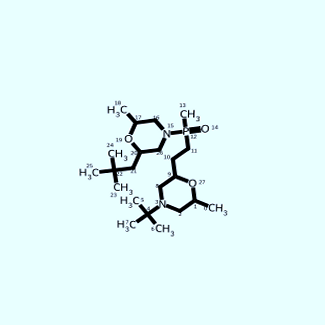 CC1CN(C(C)(C)C)CC(CCP(C)(=O)N2CC(C)OC(CC(C)(C)C)C2)O1